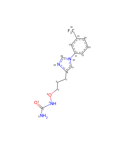 NC(=O)NOCCCc1cn(-c2cccc(C(F)(F)F)c2)cn1